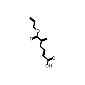 C=CCOC(=O)C(=C)CC=CC(=O)O